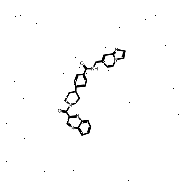 O=C(NCc1ccn2ccnc2c1)c1ccc(C2CCN(C(=O)c3cnc4ccccc4n3)CC2)cc1